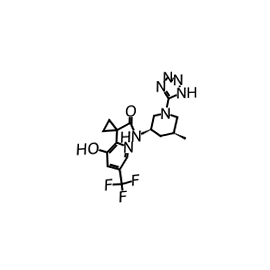 C[C@H]1C[C@@H](NC(=O)C2(c3ncc(C(F)(F)F)cc3O)CC2)CN(c2nnn[nH]2)C1